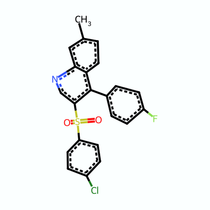 Cc1ccc2c(-c3ccc(F)cc3)c(S(=O)(=O)c3ccc(Cl)cc3)cnc2c1